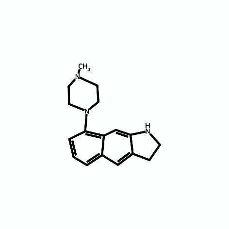 CN1CCN(c2cccc3cc4c(cc23)NCC4)CC1